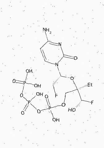 CC[C@](COP(=O)(O)OP(=O)(O)OP(=O)(O)O)(O[C@H](CF)n1ccc(N)nc1=O)[C@@H](O)F